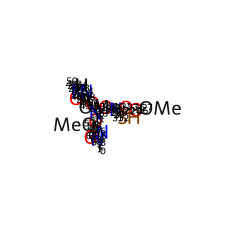 C/C=C1\CC2C=Nc3cc(OCc4cc(OCCN(CCOCCOCCOC)CC(C)(C)S)cc(COc5cc6c(cc5OC)C(=O)N5C/C(=C/C)C[C@H]5C=N6)n4)c(OC)cc3C(=O)N2C1